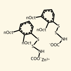 CCCCCCCCc1cccc(SSNC(=O)[O-])c1CCCCCCCC.CCCCCCCCc1cccc(SSNC(=O)[O-])c1CCCCCCCC.[Zn+2]